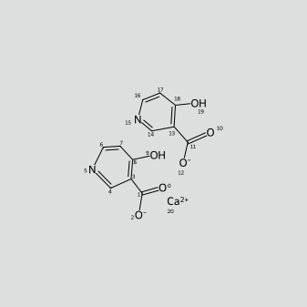 O=C([O-])c1cnccc1O.O=C([O-])c1cnccc1O.[Ca+2]